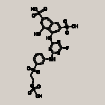 O=S(=O)(O)OCCS(=O)(=O)c1cccc(Nc2nc(F)nc(Nc3cc(S(=O)(=O)O)cc4cc(S(=O)(=O)O)cc(O)c34)n2)c1